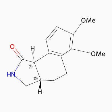 COc1ccc2c(c1OC)CC[C@@H]1CNC(=O)[C@@H]21